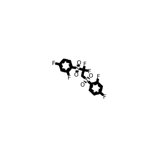 O=S(=O)(CC(F)(F)S(=O)(=O)c1ccc(F)cc1F)c1ccc(F)cc1F